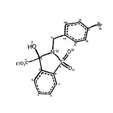 CCOC(=O)C1(O)c2ccccc2S(=O)(=O)N1Cc1ccc(Br)cc1